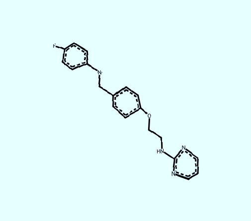 Fc1ccc([N]Cc2ccc(OCCNc3ncccn3)cc2)cc1